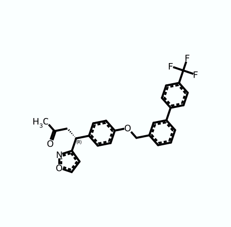 CC(=O)C[C@H](c1ccc(OCc2cccc(-c3ccc(C(F)(F)F)cc3)c2)cc1)c1ccon1